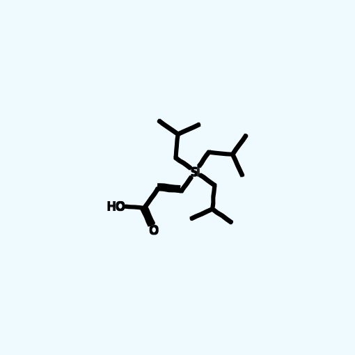 CC(C)C[Si](C=CC(=O)O)(CC(C)C)CC(C)C